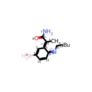 BC1=CC(=C(/C)C(N)=O)/C(=N\CC(C)CC)C=C1